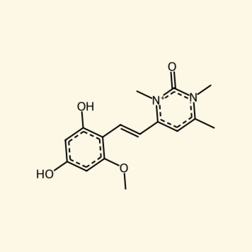 COc1cc(O)cc(O)c1C=Cc1cc(C)n(C)c(=O)[n+]1C